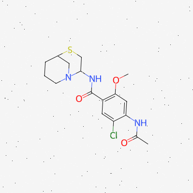 COc1cc(NC(C)=O)c(Cl)cc1C(=O)NC1CSC2CCCN1C2